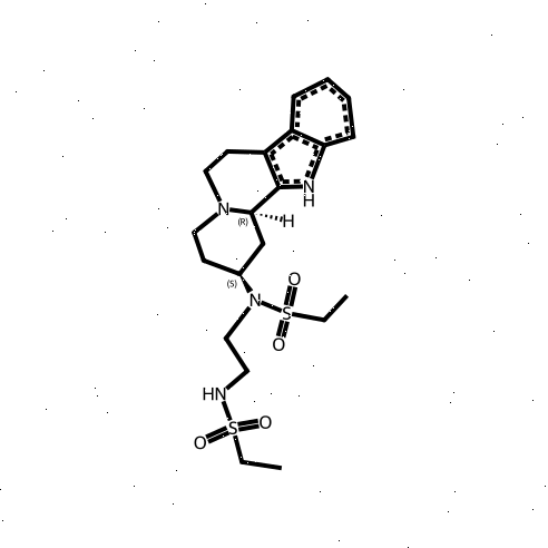 CCS(=O)(=O)NCCN([C@H]1CCN2CCc3c([nH]c4ccccc34)[C@H]2C1)S(=O)(=O)CC